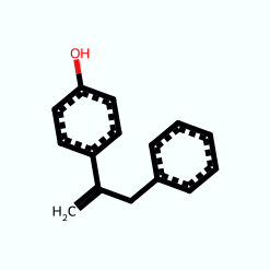 C=C(Cc1ccccc1)c1ccc(O)cc1